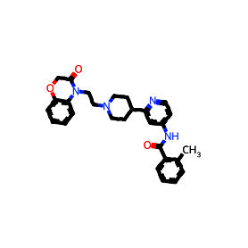 Cc1ccccc1C(=O)Nc1ccnc(C2CCN(CCN3C(=O)COc4ccccc43)CC2)c1